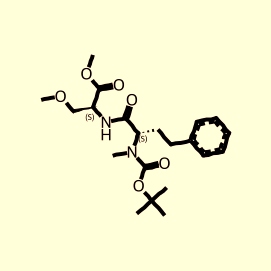 COC[C@H](NC(=O)[C@H](CCc1ccccc1)N(C)C(=O)OC(C)(C)C)C(=O)OC